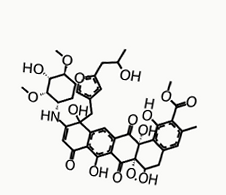 COC(=O)c1c(C)cc2c(c1O)[C@]1(O)C(=O)c3cc4c(c(O)c3C(=O)[C@]1(OC)C(O)C2)C(=O)C=C(N[C@H]1C[C@@H](C)[C@H](OC)[C@@H](O)[C@H]1OC)C4(O)Cc1coc(CC(C)O)c1